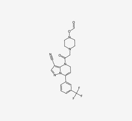 N#Cc1cnn2c1N(C(=O)CN1CCN(OC=O)CC1)CC=C2c1cccc(C(F)(F)F)c1